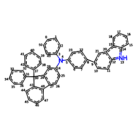 c1ccc(N(c2ccc(-c3ccc4[nH]c5ccccc5c4c3)cc2)c2ccc3c(c2)C(c2ccccc2)(c2ccccc2)c2ccccc2-3)cc1